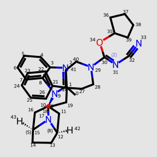 Cc1nc2ccccc2n1[C@H]1C[C@H]2CC[C@@H](C1)N2CCC1(c2ccccc2)CCN(/C(=N/C#N)OC2CCCC2)CC1